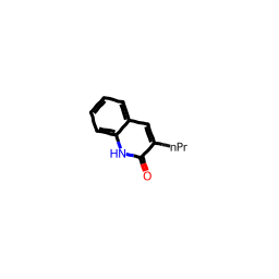 CCCc1cc2ccccc2[nH]c1=O